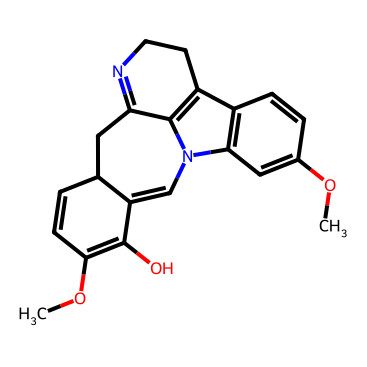 COC1=C(O)C2=Cn3c4c(c5ccc(OC)cc53)CCN=C4CC2C=C1